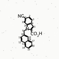 N#Cc1ccc2cc(C(=O)O)n(Cc3ccc4ccccc4c3)c2c1